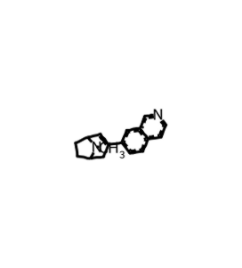 CN1C2C=C(c3ccc4ccncc4c3)CC1CC2